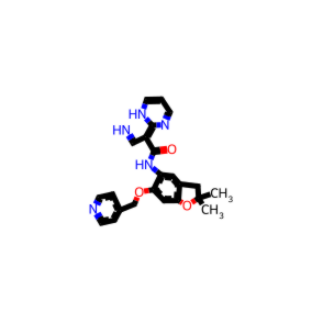 CC1(C)Cc2cc(NC(=O)/C(C=N)=C3\N=CC=CN3)c(OCc3ccncc3)cc2O1